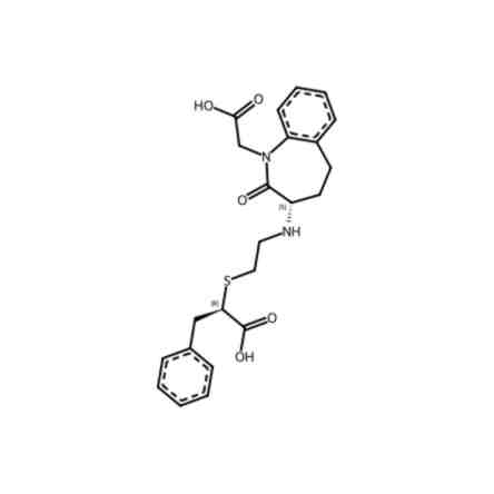 O=C(O)CN1C(=O)[C@@H](NCCS[C@H](Cc2ccccc2)C(=O)O)CCc2ccccc21